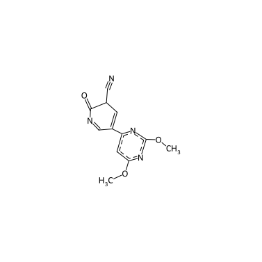 COc1cc(C2=CC(C#N)C(=O)N=C2)nc(OC)n1